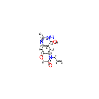 C=CCN1C(=O)COc2cc3nc(C)[nH]c(=O)c3cc21